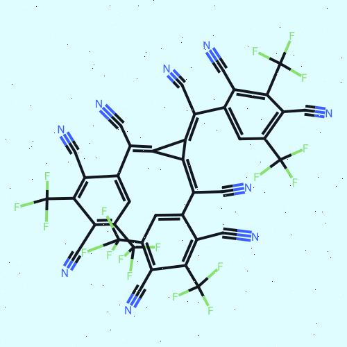 N#CC(=C1C(=C(C#N)c2cc(C(F)(F)F)c(C#N)c(C(F)(F)F)c2C#N)C1=C(C#N)c1cc(C(F)(F)F)c(C#N)c(C(F)(F)F)c1C#N)c1cc(C(F)(F)F)c(C#N)c(C(F)(F)F)c1C#N